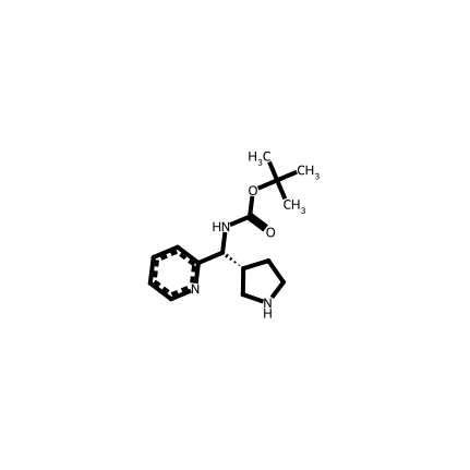 CC(C)(C)OC(=O)NC(c1ccccn1)[C@@H]1CCNC1